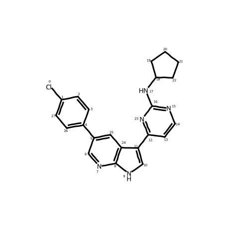 Clc1ccc(-c2cnc3[nH]cc(-c4ccnc(NC5CCCC5)n4)c3c2)cc1